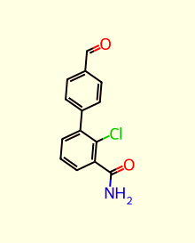 NC(=O)c1cccc(-c2ccc(C=O)cc2)c1Cl